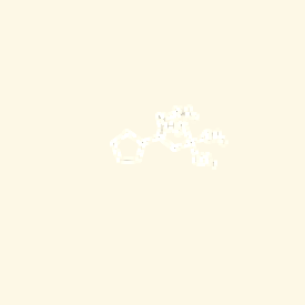 CC(C)(C)CC(=NN)C1CCCC1